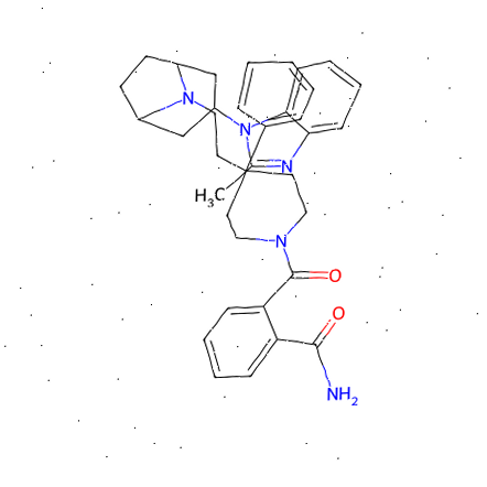 Cc1nc2ccccc2n1C1CC2CCC(C1)N2CCC1(c2ccccc2)CCN(C(=O)c2ccccc2C(N)=O)CC1